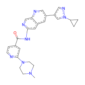 CN1CCN(c2cc(C(=O)Nc3cc4cc(-c5cnn(C6CC6)c5)cnc4cn3)ccn2)CC1